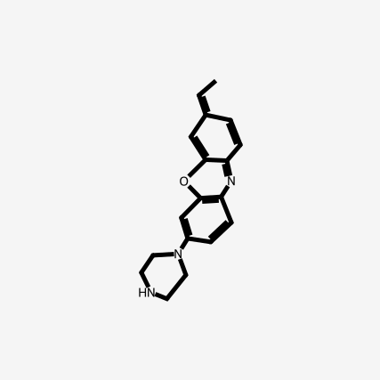 CC=c1ccc2c(c1)Oc1cc(N3CCNCC3)ccc1N=2